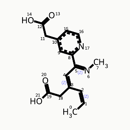 C\C=C/C(=C\C(=N\C)c1cc(CC(=O)O)ccn1)CC(=O)O